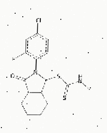 CNC(=S)SC1C2=C(CCCC2)C(=O)N1c1ccc(Cl)cc1F